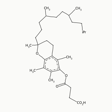 Cc1c(C)c2c(c(C)c1OC(=O)CCC(=O)O)CCC(C)(CCCC(C)CCC(C)CCC(C)C)O2